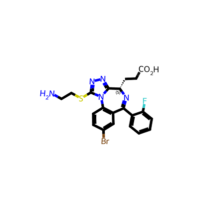 NCCSc1nnc2n1-c1ccc(Br)cc1C(c1ccccc1F)=N[C@H]2CCC(=O)O